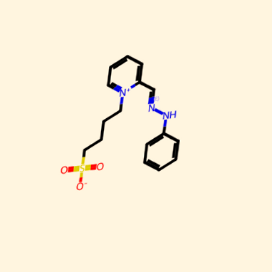 O=S(=O)([O-])CCCC[n+]1ccccc1/C=N/Nc1ccccc1